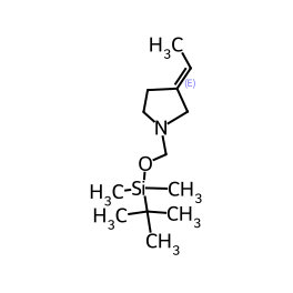 C/C=C1\CCN(CO[Si](C)(C)C(C)(C)C)C1